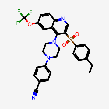 CCc1ccc(S(=O)(=O)c2cnc3ccc(OC(F)(F)F)cc3c2N2CCN(c3ccc(C#N)cc3)CC2)cc1